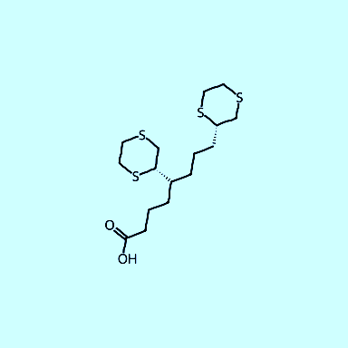 O=C(O)CCCC(CCC[C@H]1CSCCS1)[C@H]1CSCCS1